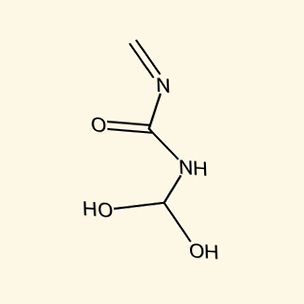 C=NC(=O)NC(O)O